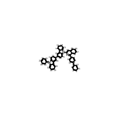 c1ccc(-c2ccc(-c3nc(-n4c5ccccc5c5cc(-c6ccc7c(c6)c6ccccc6n7-c6ccccc6)ccc54)cc4ccccc34)cc2)cc1